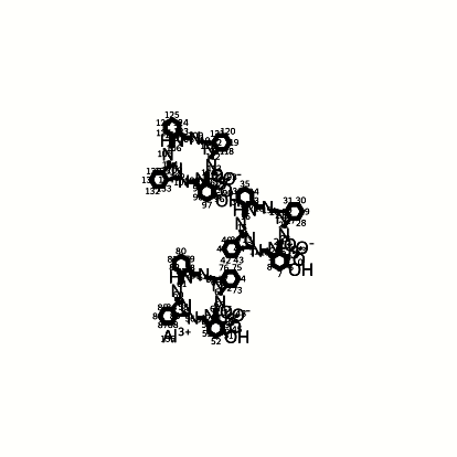 O=S(=O)([O-])c1c(O)ccc2c3nc4nc(nc5[nH]c(nc6nc(nc([nH]3)c12)-c1ccccc1-6)c1ccccc51)-c1ccccc1-4.O=S(=O)([O-])c1c(O)ccc2c3nc4nc(nc5[nH]c(nc6nc(nc([nH]3)c12)-c1ccccc1-6)c1ccccc51)-c1ccccc1-4.O=S(=O)([O-])c1c(O)ccc2c3nc4nc(nc5[nH]c(nc6nc(nc([nH]3)c12)-c1ccccc1-6)c1ccccc51)-c1ccccc1-4.[Al+3]